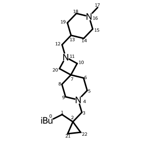 CCC(C)CC1(CN2CCC3(CC2)CN(CC2CCN(C)CC2)C3)CC1